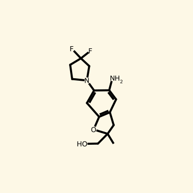 CC1(CO)Cc2cc(N)c(N3CCC(F)(F)C3)cc2O1